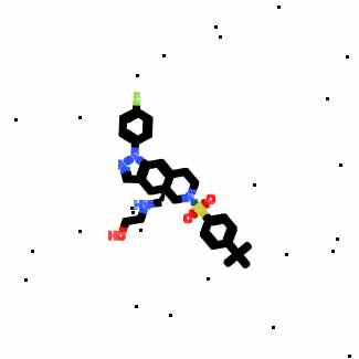 CC(C)(C)c1ccc(S(=O)(=O)N2CCC3=Cc4c(cnn4-c4ccc(F)cc4)C[C@]3(CNCCO)C2)cc1